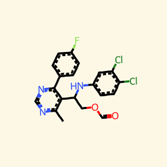 Cc1ncnc(-c2ccc(F)cc2)c1C(COC=O)Nc1ccc(Cl)c(Cl)c1